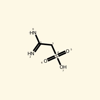 [NH]C(=N)CS(=O)(=O)O